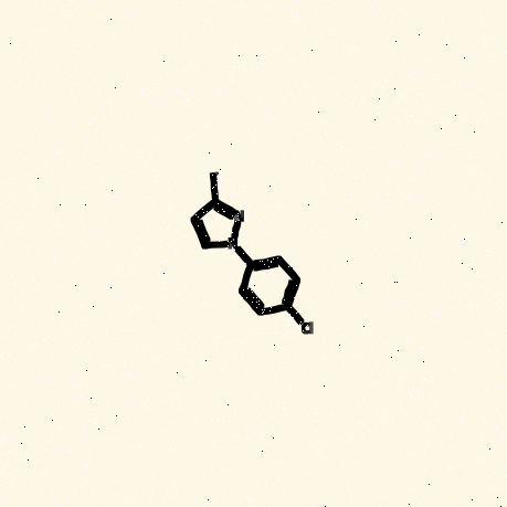 [CH2]c1ccn(-c2ccc(Cl)cc2)n1